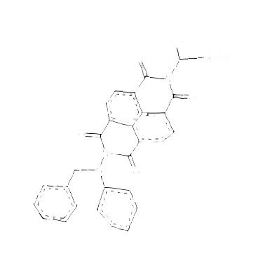 CCCCCC(C)N1C(=O)c2ccc3c4c(ccc(c24)C1=O)C(=O)N(N(Cc1ccccc1)c1ccccc1)C3=O